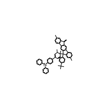 C=C1c2cc(C)ccc2-c2cc3c(cc21)-c1ccc(C)cc1C3(c1ccc(C(C)(C)C)cc1)C1(C)C=CC(c2ccc(N(c3ccccc3)c3ccccc3)cc2)=CC1C